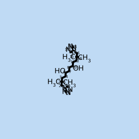 CC(C)(CCC(O)CCC(O)CCC(C)(C)Cn1cnnn1)Cn1cnnn1